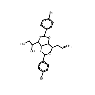 C=CCC1OC(c2ccc(CC)cc2)OC2C(C(O)CO)OC(c3ccc(CC)cc3)OC12